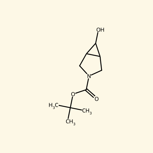 CC(C)(C)OC(=O)N1CC2C(O)C2C1